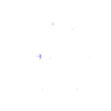 CCCC(C(C)C)C(N)C(C)C(=O)O.CCCCCC(=O)O